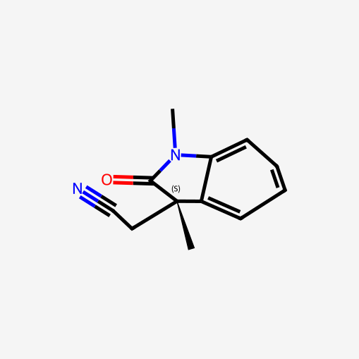 CN1C(=O)[C@@](C)(CC#N)c2ccccc21